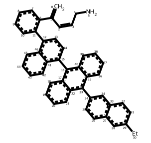 C=C(/C=C\CN)c1ccccc1-c1ccc(-c2c3ccccc3c(-c3ccc4cc(CC)ccc4c3)c3ccccc23)c2ccccc12